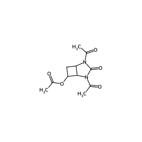 CC(=O)OC1CC2C1N(C(C)=O)C(=O)N2C(C)=O